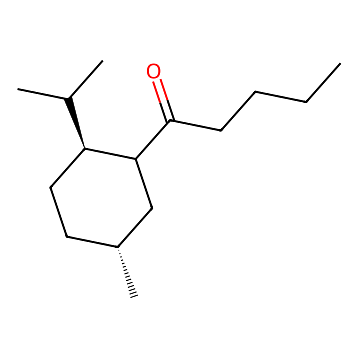 CCCCC(=O)C1C[C@H](C)CC[C@H]1C(C)C